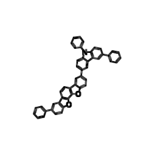 c1ccc(-c2ccc3oc4c(ccc5c6cc(-c7ccc8c(c7)c7cc(-c9ccccc9)ccc7n8-c7ccccc7)ccc6oc54)c3c2)cc1